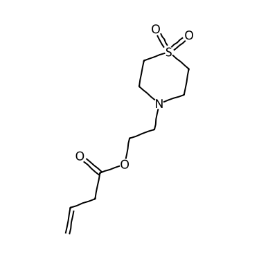 C=CCC(=O)OCCN1CCS(=O)(=O)CC1